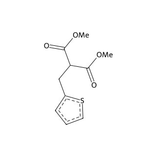 COC(=O)C(Cc1cccs1)C(=O)OC